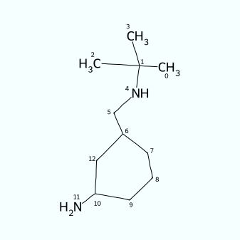 CC(C)(C)NCC1CCCC(N)C1